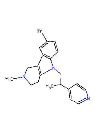 CC(C)c1ccc2c(c1)c1c(n2CC(C)c2ccncc2)CCN(C)C1